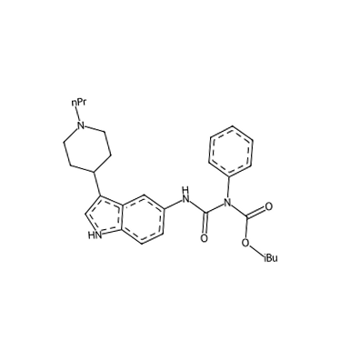 CCCN1CCC(c2c[nH]c3ccc(NC(=O)N(C(=O)OC(C)CC)c4ccccc4)cc23)CC1